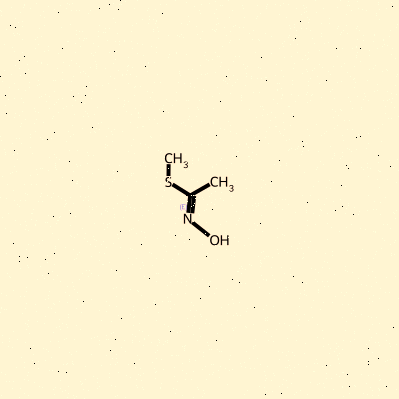 CS/C(C)=N/O